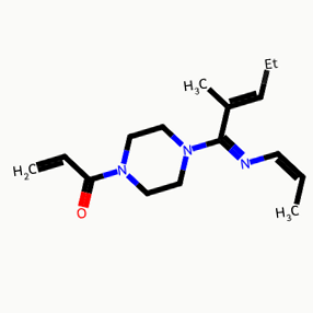 C=CC(=O)N1CCN(C(=N/C=C\C)/C(C)=C/CC)CC1